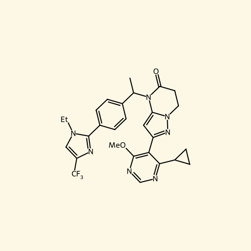 CCn1cc(C(F)(F)F)nc1-c1ccc(C(C)N2C(=O)CCn3nc(-c4c(OC)ncnc4C4CC4)cc32)cc1